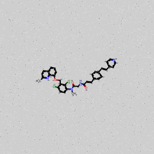 Cc1ccc2cccc(OCc3c(Cl)ccc(N(C)C(=O)CNC(=O)C=Cc4ccc(C=Cc5ccncc5)cc4)c3Cl)c2n1